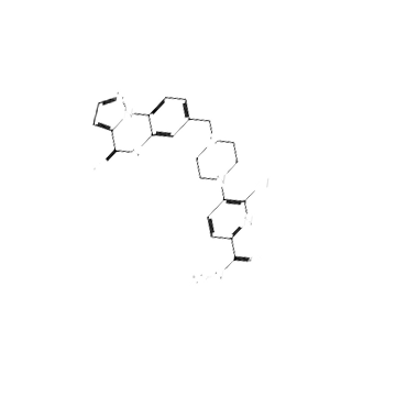 CNC(=O)c1ccc(N2CCN(Cc3ccc4c(c3)[nH]c(=O)c3ccnn34)CC2)c(C)n1